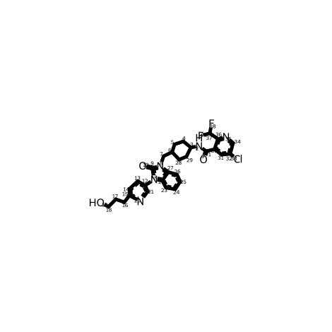 O=C(NC1CCC(Cn2c(=O)n(-c3ccc(CCCO)nc3)c3ccccc32)CC1)c1cc(Cl)cnc1C(F)F